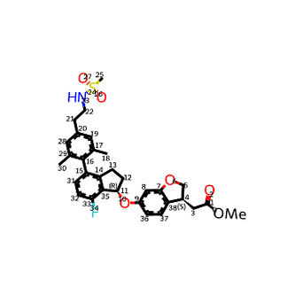 COC(=O)C[C@@H]1COc2cc(O[C@@H]3CCc4c(-c5c(C)cc(CCNS(C)(=O)=O)cc5C)ccc(F)c43)ccc21